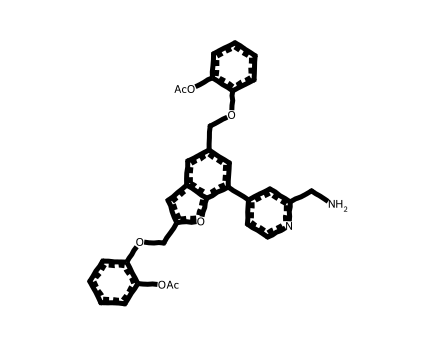 CC(=O)Oc1ccccc1OCc1cc(-c2ccnc(CN)c2)c2oc(COc3ccccc3OC(C)=O)cc2c1